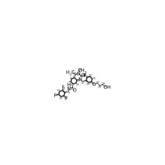 C[C@H]1c2ccc(C(=O)NCc3c(F)cc(F)cc3F)cc2N(Cc2cc(OCCCO)ccc2F)C(=O)N1C